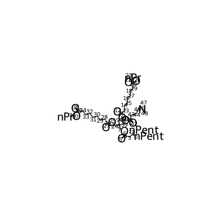 CCCCCC(CCCCC)CC(=O)OCC(COC(=O)CCCCCCCC(=O)OCCC)(COC(=O)CCCCCCCC(=O)OCCC)COC(=O)CCCN(C)C